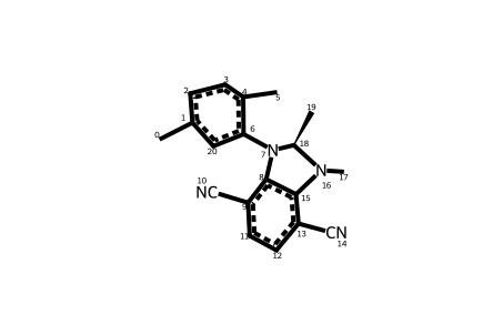 Cc1ccc(C)c(N2c3c(C#N)ccc(C#N)c3N(C)[C@@H]2C)c1